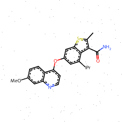 COc1ccc2c(Oc3cc(C(C)C)c4c(C(N)=O)c(C)sc4c3)ccnc2c1